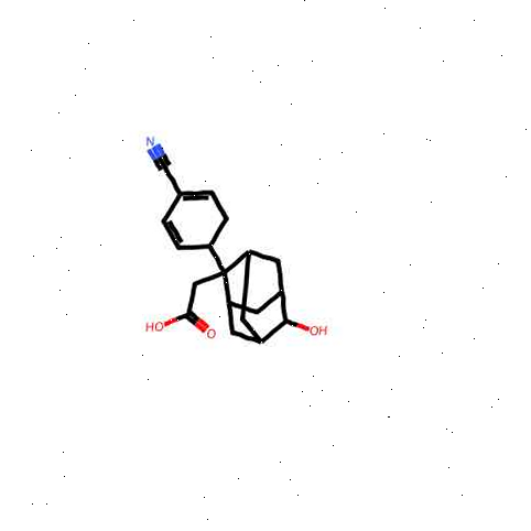 N#CC1=CCC(C2(CC(=O)O)C3CC4CC2CC(C3)C4O)C=C1